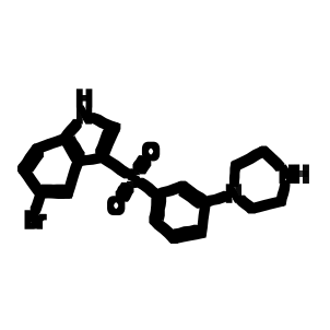 O=S(=O)(c1cccc(N2CCNCC2)c1)c1c[nH]c2ccc(Br)cc12